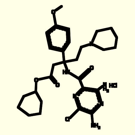 COc1ccc(C(CCN2CCCCC2)(CC(=O)OC2CCCCC2)NC(=O)c2nc(Cl)c(N)nc2N)cc1.Cl